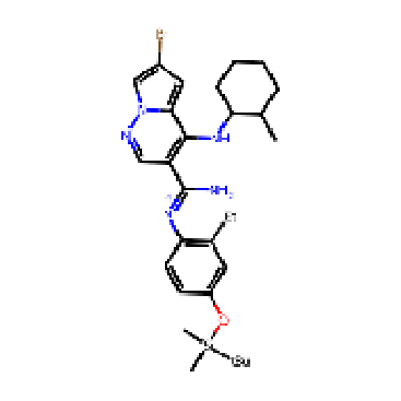 CCc1cc(O[Si](C)(C)C(C)(C)C)ccc1/N=C(\N)c1cnn2cc(Br)cc2c1NC1CCCCC1C